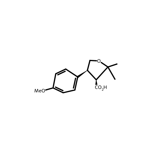 COc1ccc([C@H]2COC(C)(C)[C@H]2C(=O)O)cc1